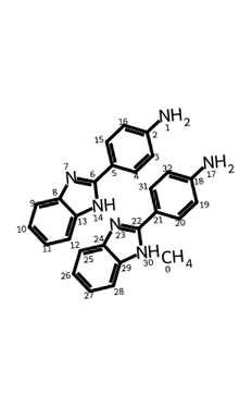 C.Nc1ccc(-c2nc3ccccc3[nH]2)cc1.Nc1ccc(-c2nc3ccccc3[nH]2)cc1